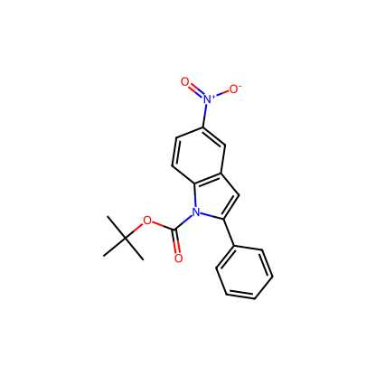 CC(C)(C)OC(=O)n1c(-c2ccccc2)cc2cc([N+](=O)[O-])ccc21